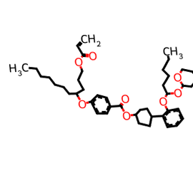 C=CC(=O)OCCCC(CCCCCCC)Oc1ccc(C(=O)OC2CCC(c3ccccc3OC(CCCCC)OC3CCCCO3)CC2)cc1